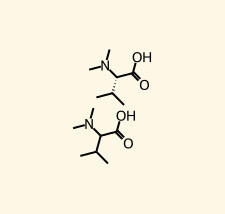 CC(C)C(C(=O)O)N(C)C.CC(C)[C@@H](C(=O)O)N(C)C